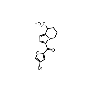 O=C(c1cc(Br)co1)c1ccc2n1CCCC2C(=O)O